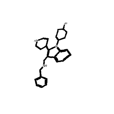 CC(C)C1CCC(n2c(C3CCNCC3)c(CNCc3ccccc3)c3ccccc32)CC1